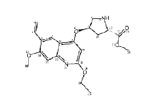 C=Cc1cc2c(O[C@H]3CN[C@H](C(=O)OC)C3)cc(OCC)nc2cc1OC